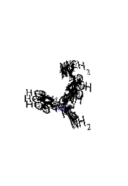 Cc1cc(SCC2=C(C(=O)O)N3C(=O)[C@@H](NC(=O)/C(=N\OCc4ccc(O)c(O)c4C(=O)O)c4csc(N)n4)[C@H]3SC2)n2ncnc2n1